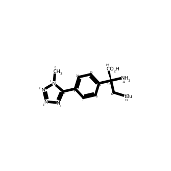 Cn1nnnc1-c1ccc([C@](N)(CC(C)(C)C)C(=O)O)cc1